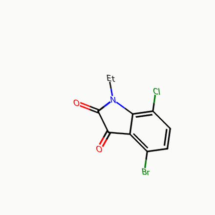 CCN1C(=O)C(=O)c2c(Br)ccc(Cl)c21